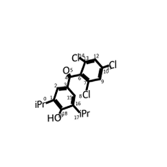 CC(C)c1cc(C(=O)c2c(Cl)cc(Cl)cc2Cl)cc(C(C)C)c1O